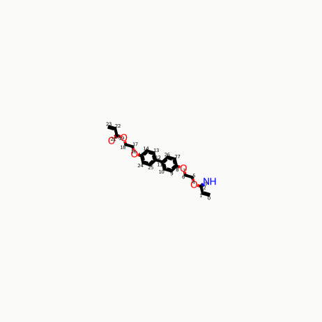 C=CC(=N)OCCOc1ccc(-c2ccc(OCCOC(=O)C=C)cc2)cc1